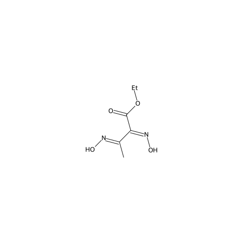 CCOC(=O)C(=NO)C(C)=NO